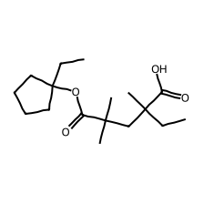 CCC1(OC(=O)C(C)(C)CC(C)(CC)C(=O)O)CCCC1